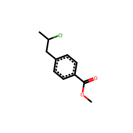 COC(=O)c1ccc(CC(C)Cl)cc1